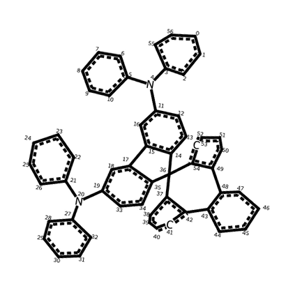 c1ccc(N(c2ccccc2)c2ccc3c(c2)-c2cc(N(c4ccccc4)c4ccccc4)ccc2C32c3ccccc3-c3ccccc3-c3ccccc32)cc1